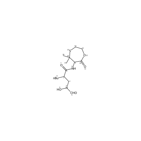 CCCCC(CN(O)C=O)C(=O)NC1C(=O)OCCSC1(C)C